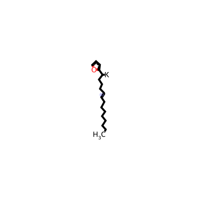 CCCCCCCC/C=C/CCC[CH]([K])c1ccco1